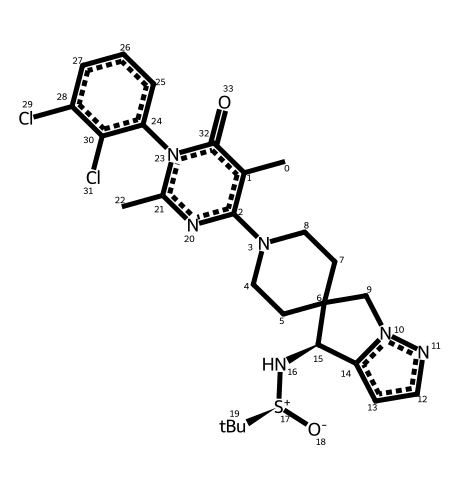 Cc1c(N2CCC3(CC2)Cn2nccc2[C@H]3N[S@@+]([O-])C(C)(C)C)nc(C)n(-c2cccc(Cl)c2Cl)c1=O